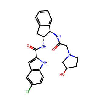 O=C(CN1CCC(O)C1)N[C@@H]1c2ccccc2C[C@H]1NC(=O)c1cc2cc(Cl)ccc2[nH]1